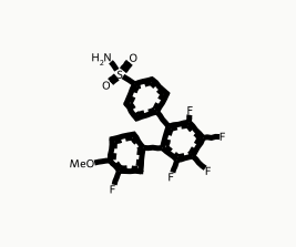 COc1ccc(-c2c(F)c(F)c(F)c(F)c2-c2ccc(S(N)(=O)=O)cc2)cc1F